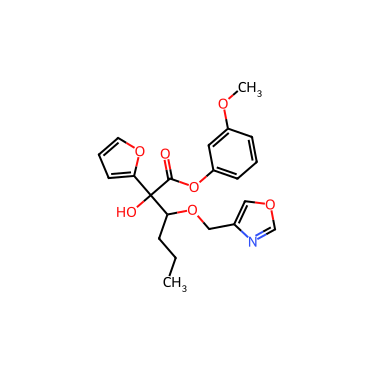 CCCC(OCc1cocn1)C(O)(C(=O)Oc1cccc(OC)c1)c1ccco1